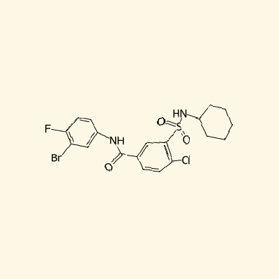 O=C(Nc1ccc(F)c(Br)c1)c1ccc(Cl)c(S(=O)(=O)NC2CCCCC2)c1